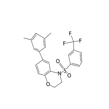 Cc1cc(C)cc(-c2ccc3c(c2)N(S(=O)(=O)c2cccc(C(F)(F)F)c2)CCO3)c1